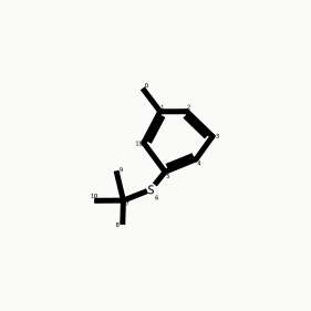 Cc1cccc(SC(C)(C)C)c1